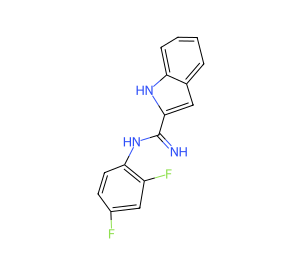 N=C(Nc1ccc(F)cc1F)c1cc2ccccc2[nH]1